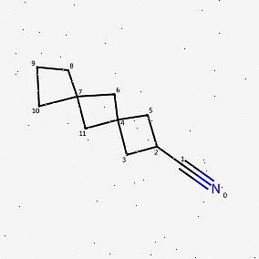 N#CC1CC2(C1)CC1(CCC1)C2